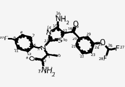 CC(C(N)=O)N(c1ccc(F)cc1)c1nc(N)c(C(=O)c2cccc(OC(F)F)c2)s1